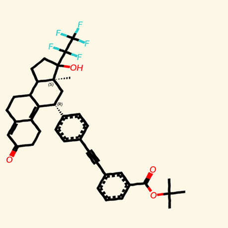 CC(C)(C)OC(=O)c1cccc(C#Cc2ccc([C@H]3C[C@@]4(C)C(CCC4(O)C(F)(F)C(F)(F)F)C4CCC5=CC(=O)CCC5=C43)cc2)c1